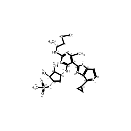 CCOC[C@@H](C)Nc1nc(C)c(-c2nc3c(C4CC4)nccc3s2)c(N[C@@H]2C[C@H](CS(C)(=O)=O)[C@@H](O)[C@H]2O)n1